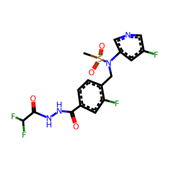 CS(=O)(=O)N(Cc1ccc(C(=O)NNC(=O)C(F)F)cc1F)c1cncc(F)c1